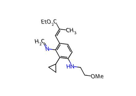 C=Nc1c(/C=C(\C)C(=O)OCC)ccc(NCCOC)c1C1CC1